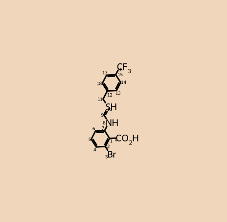 O=C(O)c1c(Br)cccc1NC=[SH]Cc1ccc(C(F)(F)F)cc1